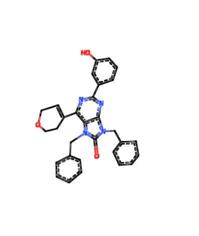 O=c1n(Cc2ccccc2)c2nc(-c3cccc(O)c3)nc(C3=CCOCC3)c2n1Cc1ccccc1